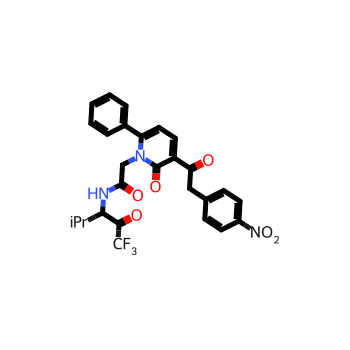 CC(C)C(NC(=O)Cn1c(-c2ccccc2)ccc(C(=O)Cc2ccc([N+](=O)[O-])cc2)c1=O)C(=O)C(F)(F)F